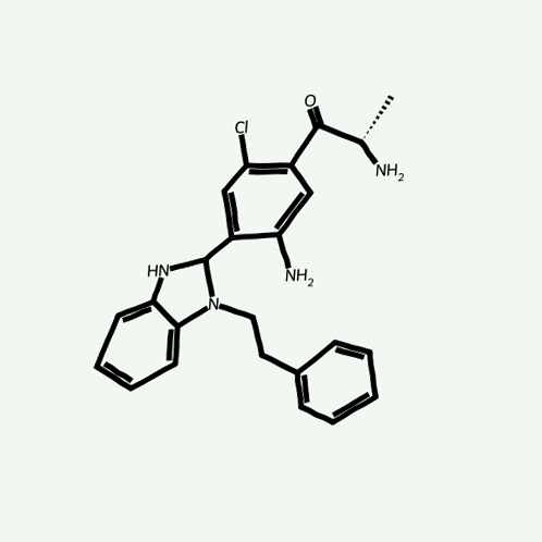 C[C@H](N)C(=O)c1cc(N)c(C2Nc3ccccc3N2CCc2ccccc2)cc1Cl